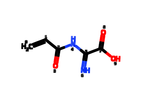 C=CC(=O)NC(=N)C(=O)O